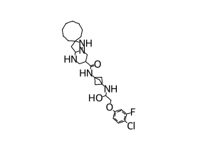 O=C(NC12CC(NC(O)COc3ccc(Cl)c(F)c3)(C1)C2)C1CNC2CC3(CCCCCCCC3)NN2C1